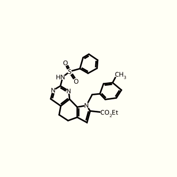 CCOC(=O)c1cc2c(n1Cc1cccc(C)c1)-c1nc(NS(=O)(=O)c3ccccc3)ncc1CC2